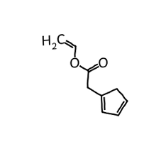 C=COC(=O)CC1=CC=CC1